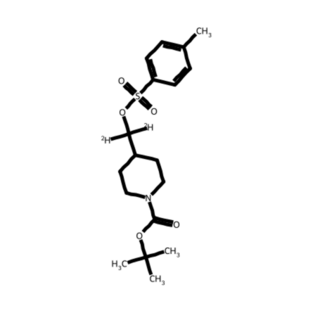 [2H]C([2H])(OS(=O)(=O)c1ccc(C)cc1)C1CCN(C(=O)OC(C)(C)C)CC1